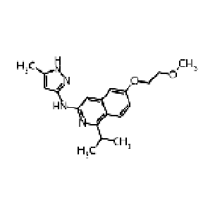 COCCOc1ccc2c(C(C)C)nc(Nc3cc(C)[nH]n3)cc2c1